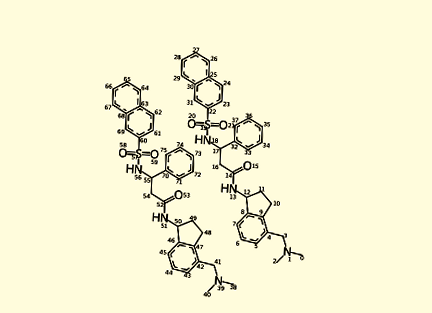 CN(C)Cc1cccc2c1CCC2NC(=O)CC(NS(=O)(=O)c1ccc2ccccc2c1)c1ccccc1.CN(C)Cc1cccc2c1CCC2NC(=O)CC(NS(=O)(=O)c1ccc2ccccc2c1)c1ccccc1